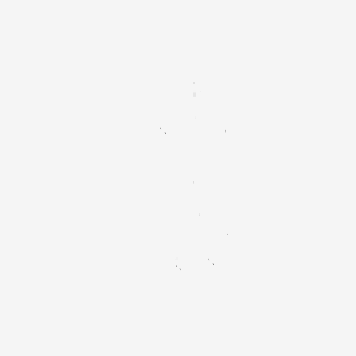 Cc1[nH]ncc1-c1ccc(C(C)C)nc1